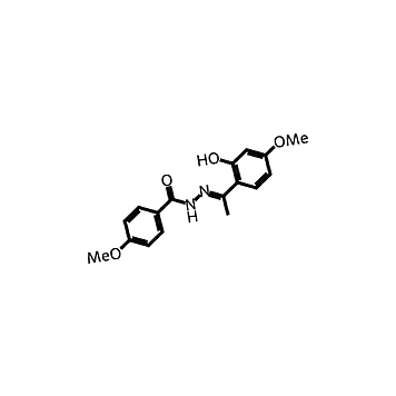 COc1ccc(C(=O)N/N=C(\C)c2ccc(OC)cc2O)cc1